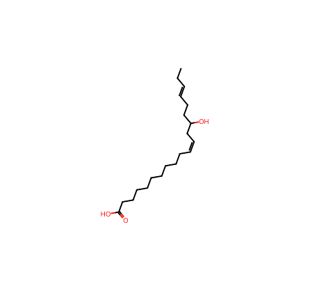 CCC=CCCC(O)C/C=C\CCCCCCCCCC(=O)O